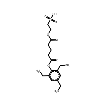 BCc1cc(CB)c(OC(=O)CCCC(=O)OCCS(=O)(=O)O)c(CB)c1